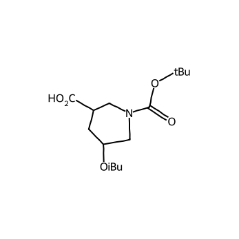 CC(C)COC1CC(C(=O)O)CN(C(=O)OC(C)(C)C)C1